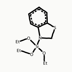 CCO[Si](OCC)(OCC)N1[CH]Sc2ccccc21